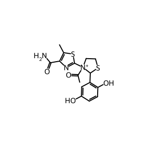 CC(=O)[N+]1(c2nc(C(N)=O)c(C)s2)CCSC1c1cc(O)ccc1O